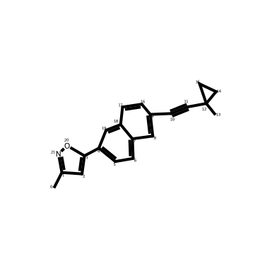 Cc1cc(-c2ccc3cc(C#CC4(C)CC4)ccc3c2)on1